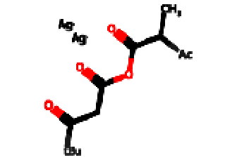 CC(=O)C(C)C(=O)OC(=O)CC(=O)C(C)(C)C.[Ag].[Ag]